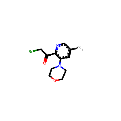 O=C(CBr)c1ncc(C(F)(F)F)cc1N1CCOCC1